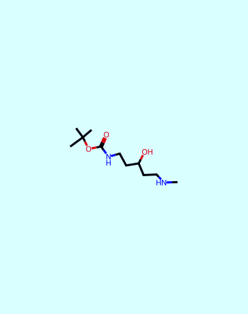 CNCCC(O)CCNC(=O)OC(C)(C)C